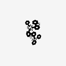 c1ccc(-c2nc(-c3cccc4oc5c(-c6nc7ccccc7n6-c6ccccc6)cccc5c34)nc(-c3cccc4sc5ccccc5c34)n2)cc1